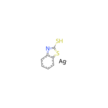 Sc1nc2ccccc2s1.[Ag]